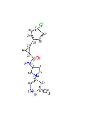 O=C(NC1CCN(c2cncc(C(F)(F)F)c2)C1)C1CC1c1ccc(Cl)cc1